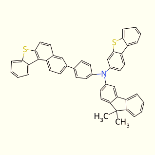 CC1(C)c2ccccc2-c2cc(N(c3ccc(-c4ccc5c(ccc6sc7ccccc7c65)c4)cc3)c3ccc4c(c3)sc3ccccc34)ccc21